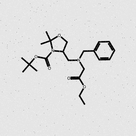 CCOC(=O)CN(Cc1ccccc1)CC1COC(C)(C)N1C(=O)OC(C)(C)C